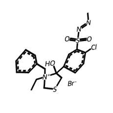 CC[N+]1(Cc2ccccc2)CSCC1(O)c1ccc(Cl)c(S(=O)(=O)N=NC)c1.[Br-]